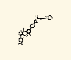 Cc1cc(C2CCN(C3CN(C(=O)C#CCCN4CCOCC4)C3)CC2)cc2c1O[C@H](C)c1c(ncnc1N1CCS(=O)(=O)CC1)N2